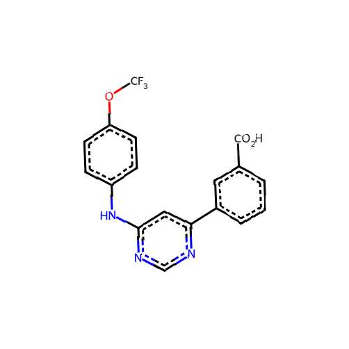 O=C(O)c1cccc(-c2cc(Nc3ccc(OC(F)(F)F)cc3)ncn2)c1